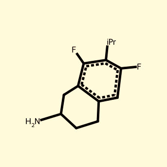 CC(C)c1c(F)cc2c(c1F)CC(N)CC2